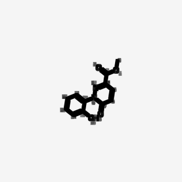 COC(=O)c1ccc(=O)n(-c2ccccc2O)n1